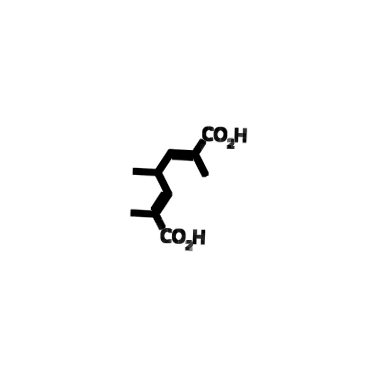 C/C(=C\C(C)/C=C(\C)C(=O)O)C(=O)O